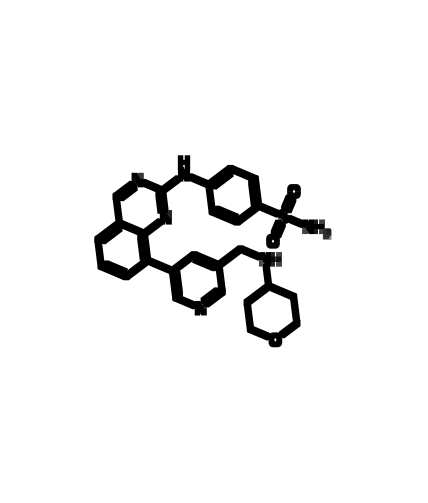 NS(=O)(=O)c1ccc(Nc2ncc3cccc(-c4cncc(CNC5CCOCC5)c4)c3n2)cc1